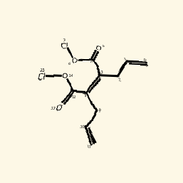 C=CC/C(C(=O)OCl)=C(\CC=C)C(=O)OCl